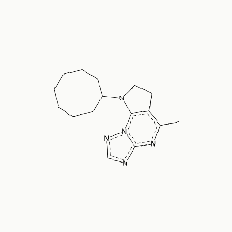 Cc1nc2ncnn2c2c1CCN2C1CCCCCCC1